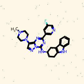 CN1CCN(c2cnn3c(N[C@@H]4CCc5[nH]c6ccccc6c5C4)nc(-c4cncc(F)c4)nc23)CC1